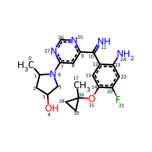 CC1CC(O)CN1c1cc(C(=N)c2cc(OC3(C)CC3)c(F)cc2N)ncn1